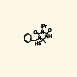 CC(C)N1C(=O)NC(C)(S)N(Cc2ccccc2)C1=O